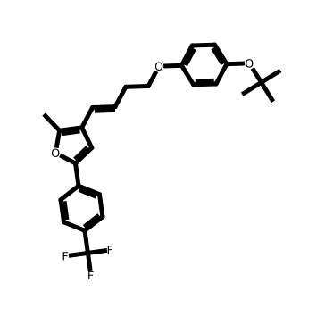 Cc1oc(-c2ccc(C(F)(F)F)cc2)cc1/C=C/CCOc1ccc(OC(C)(C)C)cc1